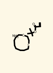 C1CCCCCCCCCCC1.C=CC(=O)OC(C)(C)C.N